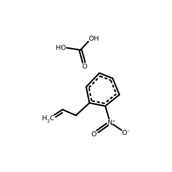 C=CCc1ccccc1[N+](=O)[O-].O=C(O)O